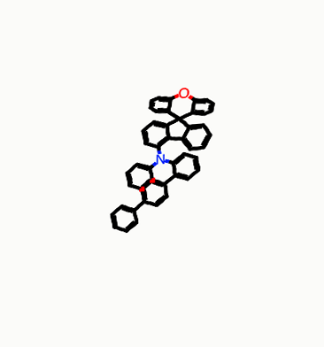 c1ccc(-c2ccc(-c3ccccc3N(c3ccccc3)c3cccc4c3-c3ccccc3C43c4ccccc4Oc4ccccc43)cc2)cc1